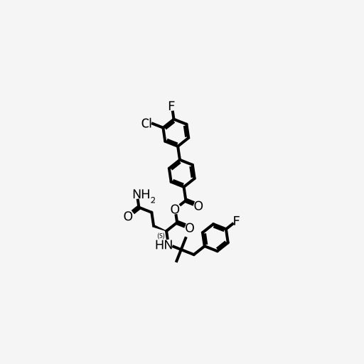 CC(C)(Cc1ccc(F)cc1)N[C@@H](CCC(N)=O)C(=O)OC(=O)c1ccc(-c2ccc(F)c(Cl)c2)cc1